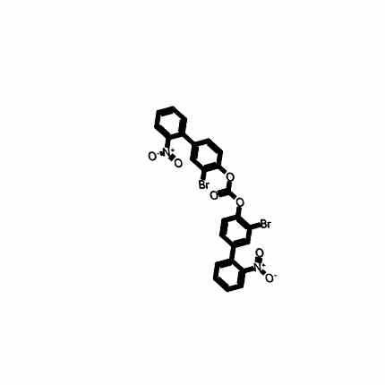 O=C(Oc1ccc(-c2ccccc2[N+](=O)[O-])cc1Br)Oc1ccc(-c2ccccc2[N+](=O)[O-])cc1Br